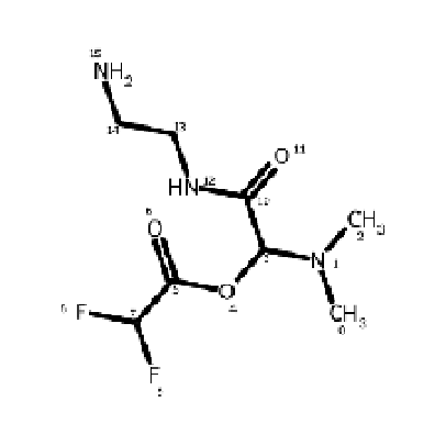 CN(C)C(OC(=O)C(F)F)C(=O)NCCN